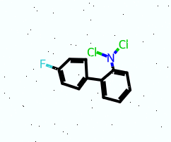 Fc1ccc(-c2ccccc2N(Cl)Cl)cc1